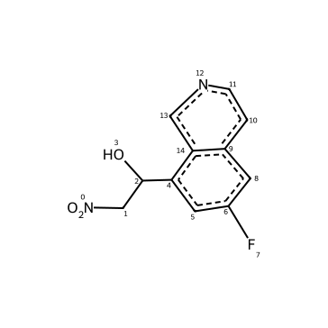 O=[N+]([O-])CC(O)c1cc(F)cc2ccncc12